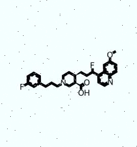 COc1ccc2nccc(C(F)CC[C@@H]3CCN(CCCc4cccc(F)c4)C[C@@H]3C(=O)O)c2c1